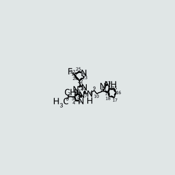 CC(C)c1cnn2c(NCCc3n[nH]c4ccccc34)nc(-c3cncc(F)c3)nc12